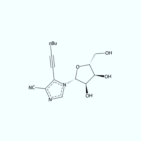 CCCCC#Cc1c(C#N)ncn1[C@@H]1O[C@H](CO)[C@@H](O)[C@H]1O